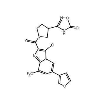 O=C(c1nc2c(C(F)(F)F)cc(-c3ccoc3)cn2c1Cl)N1CCC(c2noc(=O)[nH]2)C1